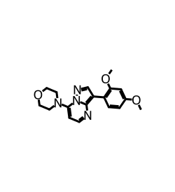 COc1ccc(-c2cnn3c(N4CCOCC4)ccnc23)c(OC)c1